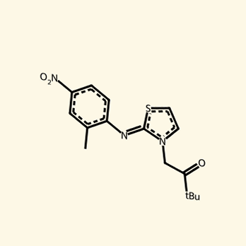 Cc1cc([N+](=O)[O-])ccc1N=c1sccn1CC(=O)C(C)(C)C